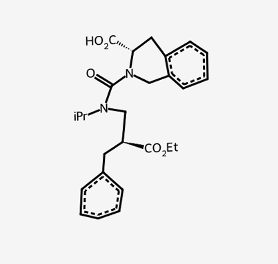 CCOC(=O)[C@@H](Cc1ccccc1)CN(C(=O)N1Cc2ccccc2C[C@H]1C(=O)O)C(C)C